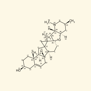 C[C@H]1C[C@H]2O[C@]3(CC[C@H]4[C@@H]5CC=C6C[C@@H](O)CC[C@]6(C)[C@H]5CC45CC53C)[C@H](C)[C@@H]2N(C)C1